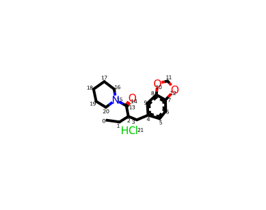 CCC(Cc1ccc2c(c1)OCO2)C(=O)N1CCCCC1.Cl